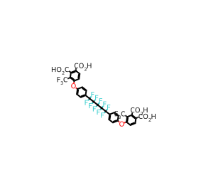 O=C(O)c1ccc(Oc2ccc(C(F)(F)C(F)(F)C(F)(F)C(F)(F)C(F)(F)c3ccc(Oc4ccc(C(=O)O)c(C(=O)O)c4C(F)(F)F)cc3)cc2)c(C(F)(F)F)c1C(=O)O